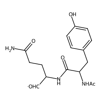 CC(=O)NC(Cc1ccc(O)cc1)C(=O)NC([C]=O)CCC(N)=O